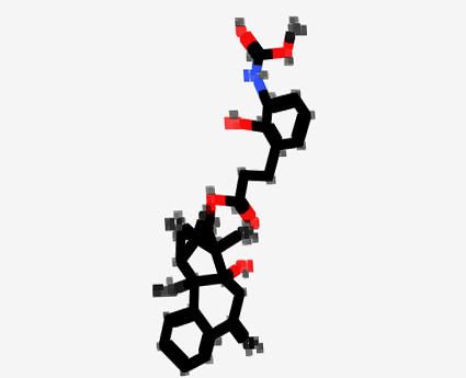 C=C1CC2(O)C(OC)(c3ccccc31)C1CC(OC(=O)CCc3cccc(NC(=O)OC(C)(C)C)c3O)C2(C)C1(C)C